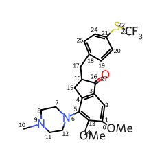 COc1cc2c(c(N3CCN(C)CC3)c1OC)CC(Cc1ccc(SC(F)(F)F)cc1)C2=O